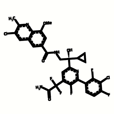 COc1cc(C(=O)NC[C@](O)(c2cc(C(F)(F)C(N)=O)c(F)c(-c3ccc(F)c(Cl)c3F)n2)C2CC2)cc2cc(Cl)c(C)nc12